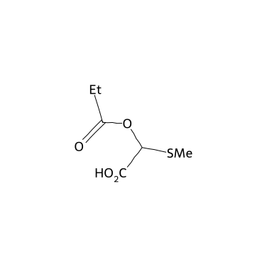 CCC(=O)OC(SC)C(=O)O